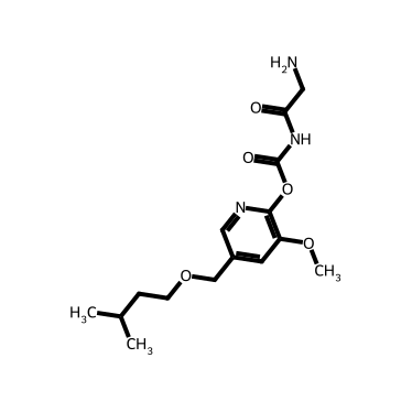 COc1cc(COCCC(C)C)cnc1OC(=O)NC(=O)CN